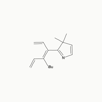 C=C/C(C1=NC=CC1(C)C)=C(\C=C)C(C)CC